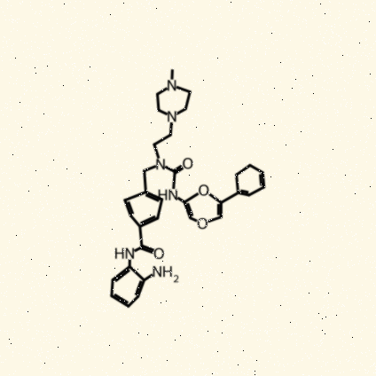 CN1CCN(CCN(Cc2ccc(C(=O)Nc3ccccc3N)cc2)C(=O)NC2=COC=C(C3=CC=CCC3)O2)CC1